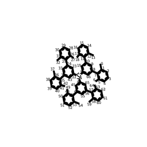 Cc1cccc(C)c1-c1cc(-c2c(C)cccc2C)cc([Si](c2cc(-c3c(C)cccc3C)cc(-c3c(C)cccc3C)c2)c2cc(-c3c(C)cccc3C)cc(-c3c(C)cccc3C)c2)c1